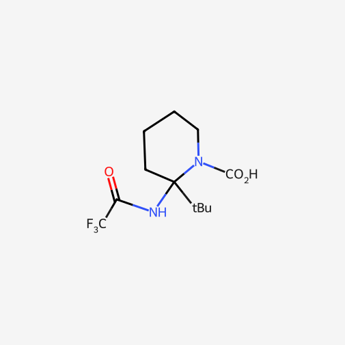 CC(C)(C)C1(NC(=O)C(F)(F)F)CCCCN1C(=O)O